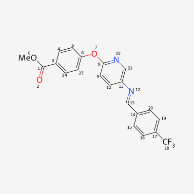 COC(=O)c1ccc(Oc2ccc(N=Cc3ccc(C(F)(F)F)cc3)cn2)cc1